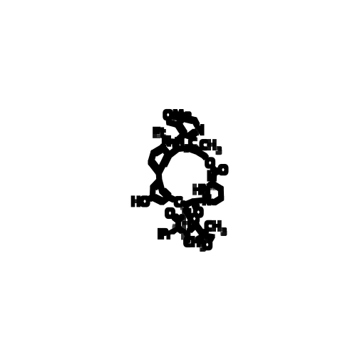 CCn1c(-c2cnccc2COC)c2c3cc(ccc31)-c1cc(O)cc(c1)C[C@H](NC(=O)[C@H](C(C)C)N(C)C(=O)C1(C)COC1)C(=O)N1CCC[C@H](N1)C(=O)OCC(C)(C)C2